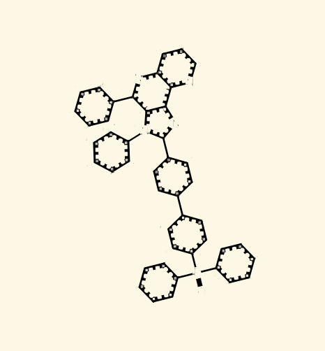 O=P(c1ccccc1)(c1ccccc1)c1ccc(-c2ccc(-c3nc4c5ncccc5nc(-c5ccccc5)c4n3-c3ccccc3)cc2)cc1